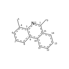 Cc1nc2c(C)cccc2c2ccccc12